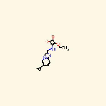 CCOc1c(NCc2cn3cc(C4CC4)ccc3n2)c(=O)c1=O